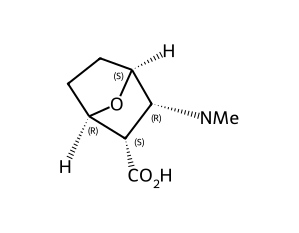 CN[C@@H]1[C@H](C(=O)O)[C@H]2CC[C@@H]1O2